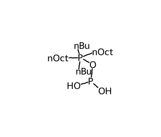 CCCCCCCCP(CCCC)(CCCC)(CCCCCCCC)OP(O)O